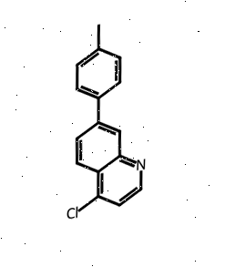 Cc1ccc(-c2ccc3c(Cl)ccnc3c2)cc1